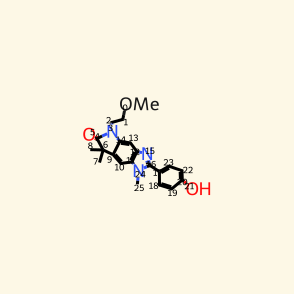 COCCN1C(=O)C(C)(C)c2cc3c(cc21)nc(-c1ccc(O)cc1)n3C